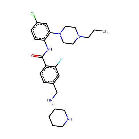 O=C(Nc1ccc(Cl)cc1N1CCN(CCC(F)(F)F)CC1)c1ccc(CN[C@H]2CCCNC2)cc1F